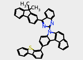 CC1(C)c2ccccc2-c2ccc(-c3nc(-n4c5ccc(-c6cccc7c6sc6ccccc67)cc5c5c6ccccc6ccc54)nc4ccccc34)cc21